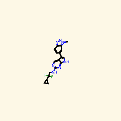 Cn1nnc2ccc(-c3c[nH]c4nc(NCC(F)(F)C5CC5)ncc34)cc21